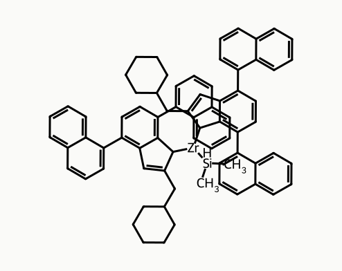 C[SiH](C)[Zr]([CH]1C(CC2CCCCC2)=Cc2c(-c3cccc4ccccc34)ccc(-c3cccc4ccccc34)c21)[CH]1C(CC2CCCCC2)=Cc2c(-c3cccc4ccccc34)ccc(-c3cccc4ccccc34)c21